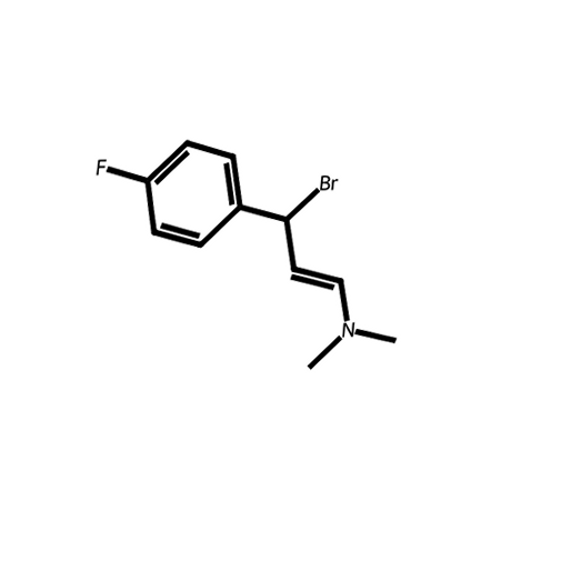 CN(C)/C=C/C(Br)c1ccc(F)cc1